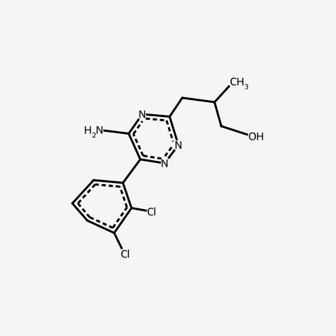 CC(CO)Cc1nnc(-c2cccc(Cl)c2Cl)c(N)n1